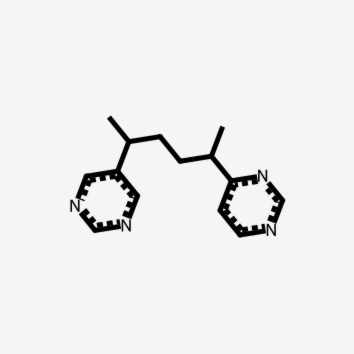 CC(CCC(C)c1ccncn1)c1cncnc1